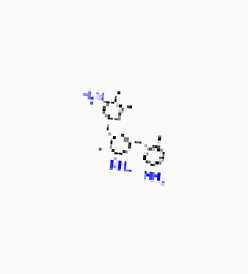 Cc1ccc(N)cc1CC1=C[C@@H](Cc2cc(C)c(C)c(N)c2)[C@@H](C)C(N)=C1